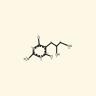 Nc1nc(Cl)c(CC(O)CO)c(Cl)n1